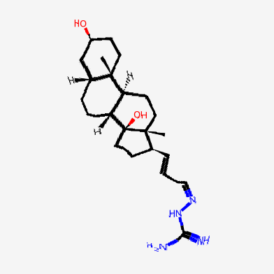 C[C@]12CC[C@H](O)C[C@H]1CC[C@@H]1[C@@H]2CC[C@]2(C)[C@@H](/C=C/C=N\NC(=N)N)CC[C@]12O